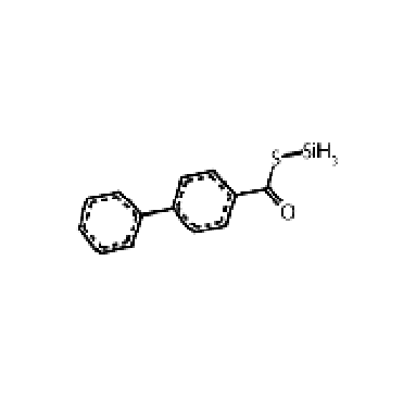 O=C(S[SiH3])c1ccc(-c2ccccc2)cc1